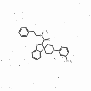 CN(CCc1ccccc1)C(=O)C1Oc2ccccc2C12CCN(c1cc(N)ccn1)CC2